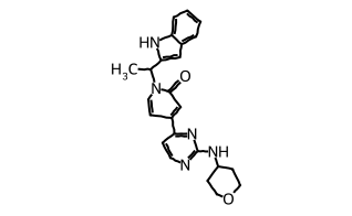 CC(c1cc2ccccc2[nH]1)n1ccc(-c2ccnc(NC3CCOCC3)n2)cc1=O